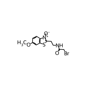 COc1ccc2c(c1)sc(CCNC(=O)CBr)[n+]2[O-]